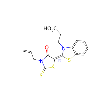 C=CCN1C(=O)/C(=C2/Sc3ccccc3N2CCC(=O)O)SC1=S